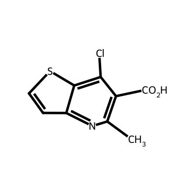 Cc1nc2ccsc2c(Cl)c1C(=O)O